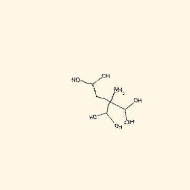 NC(CC(O)O)(C(O)O)C(O)O